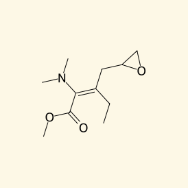 CCC(CC1CO1)=C(C(=O)OC)N(C)C